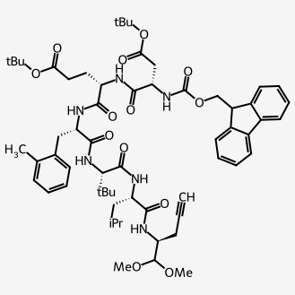 C#CC[C@H](NC(=O)[C@H](CC(C)C)NC(=O)[C@@H](NC(=O)[C@H](Cc1ccccc1C)NC(=O)[C@H](CCC(=O)OC(C)(C)C)NC(=O)[C@H](CC(=O)OC(C)(C)C)NC(=O)OCC1c2ccccc2-c2ccccc21)C(C)(C)C)C(OC)OC